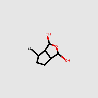 CCC1CCC2C(O)OC(O)C12